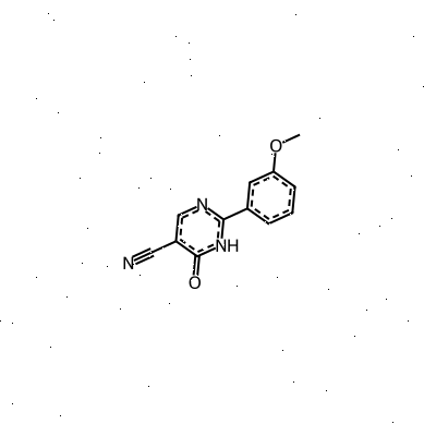 COc1cccc(-c2ncc(C#N)c(=O)[nH]2)c1